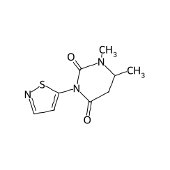 CC1CC(=O)N(c2ccns2)C(=O)N1C